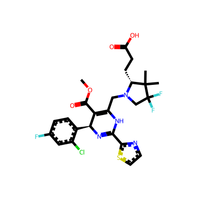 COC(=O)C1=C(CN2CC(F)(F)C(C)(C)[C@H]2CCC(=O)O)NC(c2nccs2)=N[C@H]1c1ccc(F)cc1Cl